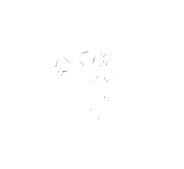 O=C(NC1CN(CC(F)F)C1)c1n[nH]c2ccc(-c3cccnc3)cc12